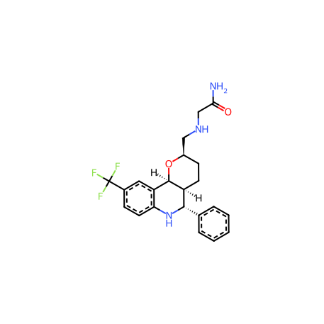 NC(=O)CNC[C@H]1CC[C@@H]2[C@H](O1)c1cc(C(F)(F)F)ccc1N[C@H]2c1ccccc1